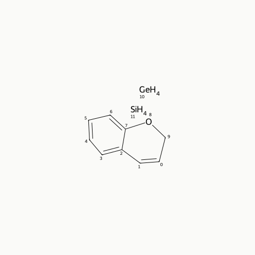 C1=Cc2ccccc2OC1.[GeH4].[SiH4]